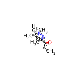 CCC(=O)/C(C)=N/N(C)[Si](C)(C)C